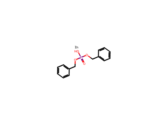 O=P(O)(OCc1ccccc1)OCc1ccccc1.[Zn]